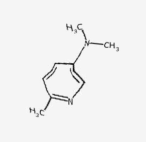 Cc1ccc(N(C)C)cn1